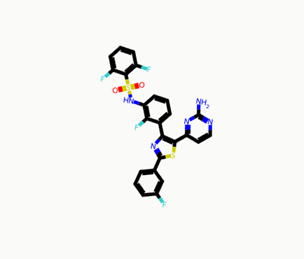 Nc1nccc(-c2sc(-c3cccc(F)c3)nc2-c2cccc(NS(=O)(=O)c3c(F)cccc3F)c2F)n1